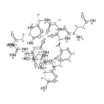 CC[C@H](C)[C@H](NC(=O)[C@H](CCC(=O)O)NC(=O)[C@H](C)NC(=O)[C@H](C)NC(=O)[C@H](Cc1ccccc1)NC(=O)[C@@H](N)CCC(=O)O)C(=O)N[C@@H](CCCNC(=N)N)C(=O)N[C@@H](CC(=O)O)C(=O)N1CCC[C@H]1C(=O)N[C@@H](C)C(=O)O